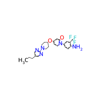 CCCc1cnc(N2CCC(Oc3ccn(-c4ccc(N)c(C(F)(F)F)c4)c(=O)c3)CC2)nc1